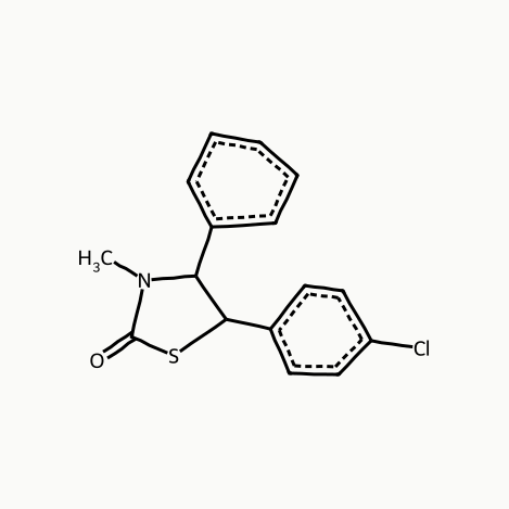 CN1C(=O)SC(c2ccc(Cl)cc2)C1c1ccccc1